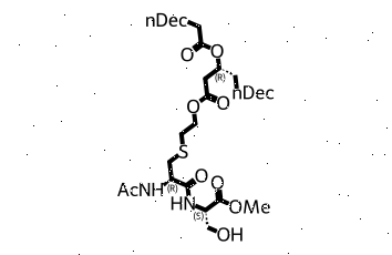 CCCCCCCCCCCC(=O)O[C@H](CCCCCCCCCCC)CC(=O)OCCSC[C@H](NC(C)=O)C(=O)N[C@@H](CO)C(=O)OC